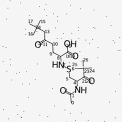 CC(=O)NC(CSNC(CCC(=O)CC(C)(C)C)C(=O)O)C(=O)C(C)(C)C